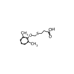 Cc1cccc(C)c1OCSCCC(=O)O